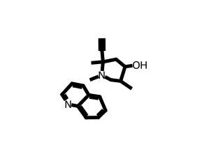 C#CC1(C)CC(O)C(C)CN1C.c1ccc2ncccc2c1